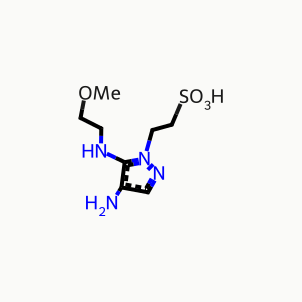 COCCNc1c(N)cnn1CCS(=O)(=O)O